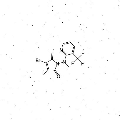 C=C1C(Br)=C(C)C(=O)N1N(C)c1ncccc1C(F)(F)F